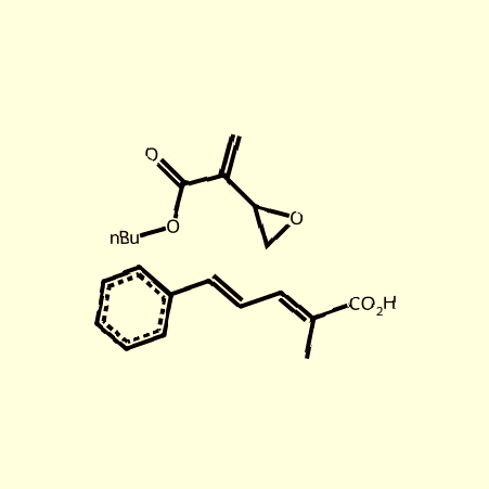 C=C(C(=O)OCCCC)C1CO1.CC(=CC=Cc1ccccc1)C(=O)O